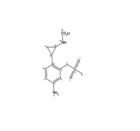 CS(=O)(=O)Cc1cc(N)ccc1C1CC1NC(=O)O